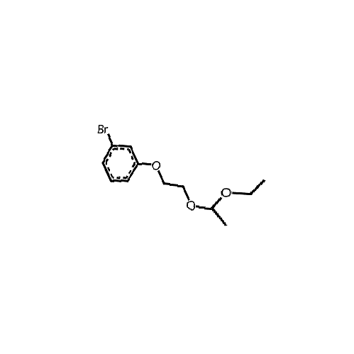 CCOC(C)OCCOc1cccc(Br)c1